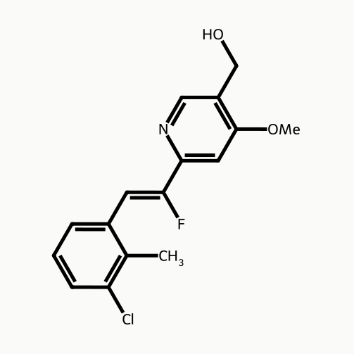 COc1cc(/C(F)=C/c2cccc(Cl)c2C)ncc1CO